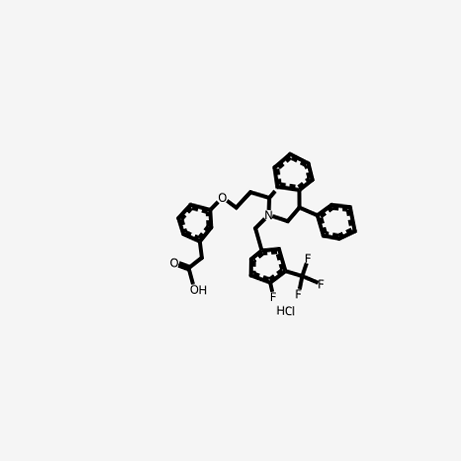 CC(CCOc1cccc(CC(=O)O)c1)N(Cc1ccc(F)c(C(F)(F)F)c1)CC(c1ccccc1)c1ccccc1.Cl